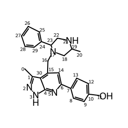 Cc1n[nH]c2nc(-c3ccc(O)cc3)cc(CN3CC(C)NCC3c3ccccc3)c12